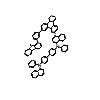 c1ccc(N(c2ccc(-c3ccc(N(c4ccccc4)c4ccc(-c5ccc6c7ccccc7c7ccc(-c8cccc(-c9cccc%10c9sc9ccccc9%10)c8)cc7c6c5)c5ccccc45)cc3)cc2)c2cccc3ccccc23)cc1